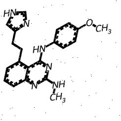 CNc1nc(Nc2ccc(OC)cc2)c2c(CCc3c[nH]cn3)cccc2n1